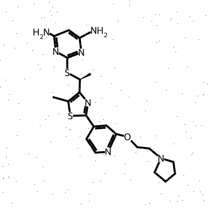 Cc1sc(-c2ccnc(OCCN3CCCC3)c2)nc1[C@H](C)Sc1nc(N)cc(N)n1